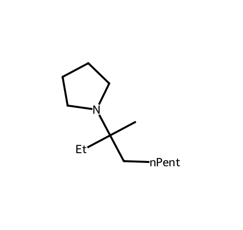 CCCCCCC(C)(CC)N1CCCC1